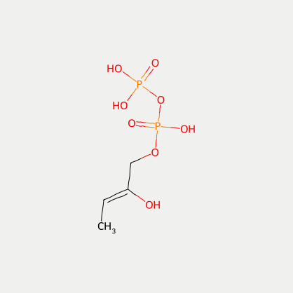 CC=C(O)COP(=O)(O)OP(=O)(O)O